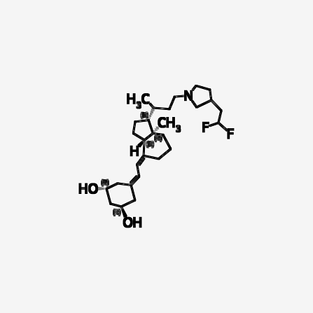 CC(CCN1CCC(CC(F)F)C1)[C@H]1CC[C@H]2C(=CC=C3C[C@@H](O)C[C@H](O)C3)CCC[C@]12C